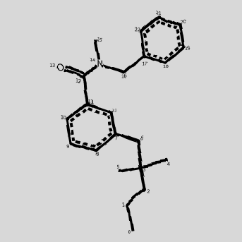 CCCC(C)(C)Cc1cccc(C(=O)N(C)Cc2ccccc2)c1